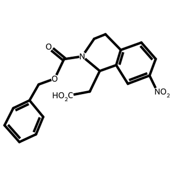 O=C(O)CC1c2cc([N+](=O)[O-])ccc2CCN1C(=O)OCc1ccccc1